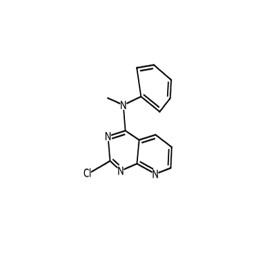 CN(c1ccccc1)c1nc(Cl)nc2ncccc12